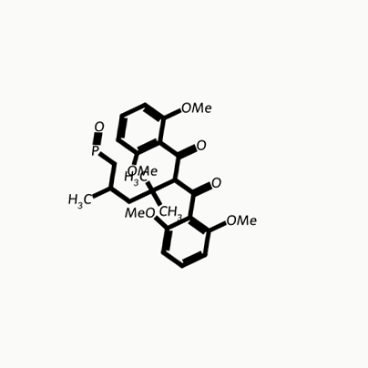 COc1cccc(OC)c1C(=O)C(C(=O)c1c(OC)cccc1OC)C(C)(C)CC(C)CP=O